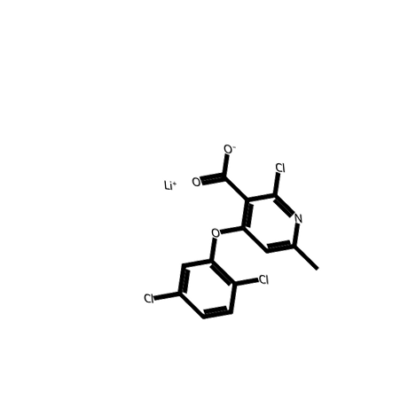 Cc1cc(Oc2cc(Cl)ccc2Cl)c(C(=O)[O-])c(Cl)n1.[Li+]